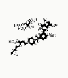 CCCOc1ccc(S(=O)(=O)N2CCN(CCC(OCCO[N+](=O)[O-])C(=O)O)CC2)cc1-c1nc2c(CCC)cn(CC)c2c(=O)[nH]1.O=C(O)CC(O)(CC(=O)O)C(=O)O